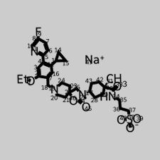 CCOc1cc(-c2ccc(F)cn2)c(C2CC2)cc1CN1CCC2(CC1)CN([C@H]1CC[C@@](C)(C(=O)NCCCS(=O)(=O)[O-])CC1)C(=O)O2.[Na+]